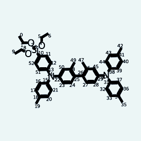 CCO[Si](OCC)(OCC)c1ccc(N(c2ccc(C)cc2)c2ccc(-c3ccc(N(c4ccc(C)cc4)c4ccc(C)cc4)cc3C)c(C)c2)cc1